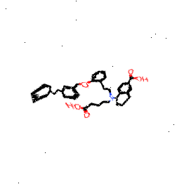 O=C(O)CCCCN(CCc1ccccc1OCc1cccc(CCc2ccccc2)c1)C1CCCc2cc(C(=O)O)ccc21